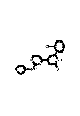 O=c1cc(-c2ccnc(Nc3ccccc3)n2)cc(-c2ccccc2Cl)[nH]1